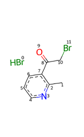 Br.Cc1ncccc1C(=O)CBr